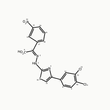 O=C(O)/C(=N\Nc1nc(-c2ccc(Cl)c(Cl)c2)cs1)c1cccc([N+](=O)[O-])c1